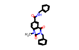 Cn1c(=O)n(Cc2ccccc2)c(=O)c2cc(C(=O)NCc3ccccc3)ccc21